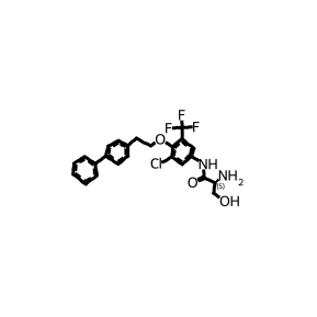 N[C@@H](CO)C(=O)Nc1cc(Cl)c(OCCc2ccc(-c3ccccc3)cc2)c(C(F)(F)F)c1